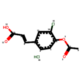 CC(=O)Oc1ccc(C=CC(=O)O)cc1Cl.Cl